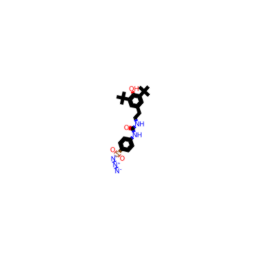 CC(C)(C)c1cc(CCNC(=O)Nc2ccc(S(=O)(=O)N=[N+]=[N-])cc2)cc(C(C)(C)C)c1O